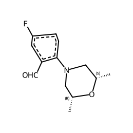 C[C@@H]1CN(c2ccc(F)cc2C=O)C[C@H](C)O1